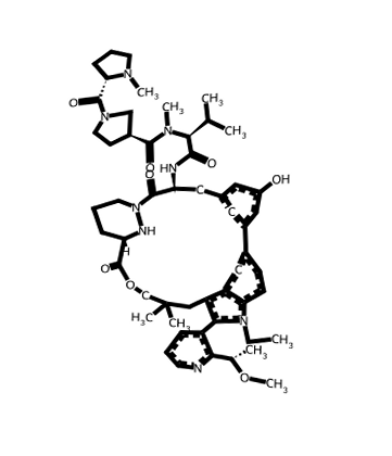 CCn1c(-c2cccnc2[C@H](C)OC)c2c3cc(ccc31)-c1cc(O)cc(c1)C[C@H](NC(=O)[C@H](C(C)C)N(C)C(=O)[C@H]1CCN(C(=O)[C@@H]3CCCN3C)C1)C(=O)N1CCC[C@H](N1)C(=O)OCC(C)(C)C2